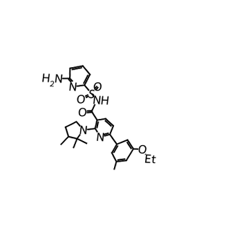 CCOc1cc(C)cc(-c2ccc(C(=O)NS(=O)(=O)c3cccc(N)n3)c(N3CCC(C)C3(C)C)n2)c1